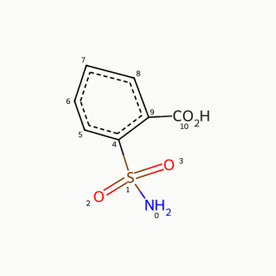 NS(=O)(=O)c1ccccc1C(=O)O